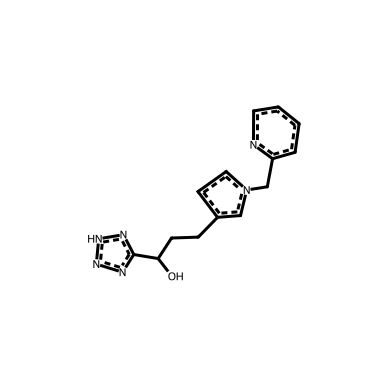 OC(CCc1ccn(Cc2ccccn2)c1)c1nn[nH]n1